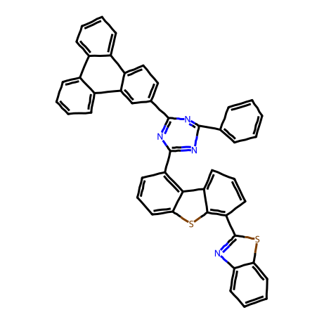 c1ccc(-c2nc(-c3ccc4c5ccccc5c5ccccc5c4c3)nc(-c3cccc4sc5c(-c6nc7ccccc7s6)cccc5c34)n2)cc1